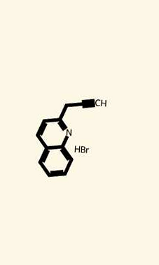 Br.C#CCc1ccc2ccccc2n1